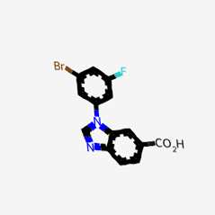 O=C(O)c1ccc2ncn(-c3cc(F)cc(Br)c3)c2c1